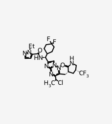 CCn1nccc1C(=O)N[C@H](c1cn2nc(C[C@H]3C[C@@H](C(F)(F)F)CNC3=O)c(C(C)Cl)nc2n1)C1CCC(F)(F)CC1